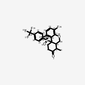 CC1C(=O)CCC2(S(=O)(=O)c3ccc(C(F)(F)F)cc3)c3c(F)ccc(F)c3OCC12